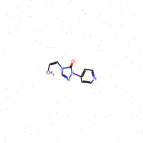 C/C=C\n1cnn(-c2ccncc2)c1=O